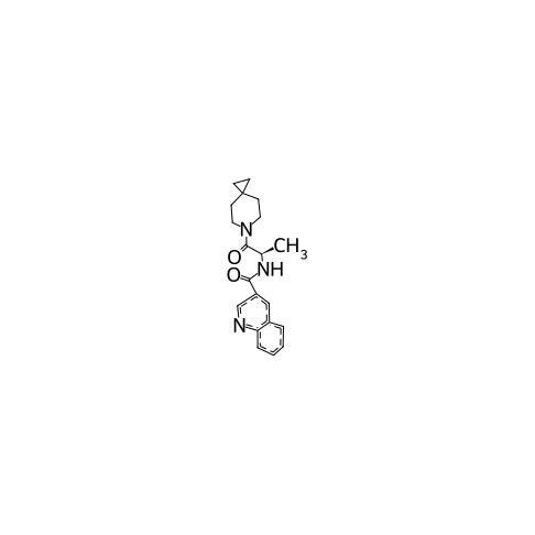 C[C@@H](NC(=O)c1cnc2ccccc2c1)C(=O)N1CCC2(CC1)CC2